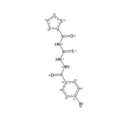 O=C(NNC(=S)NC(=O)c1cccs1)c1ccc(Br)cc1